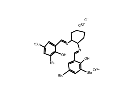 CC(C)(C)c1cc(/C=N/C2CCCCC2/N=C/c2cc(C(C)(C)C)cc(C(C)(C)C)c2O)c(O)c(C(C)(C)C)c1.[Cl-].[Cl-].[Cl-].[Cr+3]